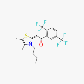 CCCCN1C(=CC(=O)c2cc(C(F)(F)F)ccc2C(F)(F)F)SC(C)=C1C